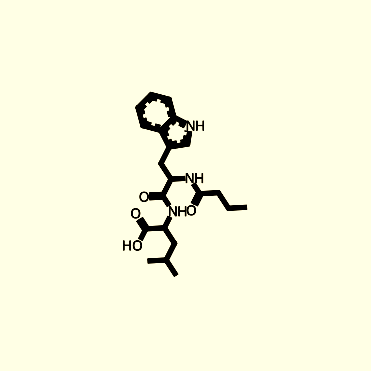 CCCC(=O)NC(Cc1c[nH]c2ccccc12)C(=O)NC(CC(C)C)C(=O)O